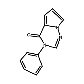 O=c1c2cccn2ncn1-c1ccccc1